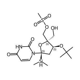 C[SiH](C)[C@]1(n2ccc(=O)[nH]c2=O)C[C@H](OC(C)(C)C)[C@](CO)(COS(C)(=O)=O)O1